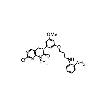 COc1cc(OCCCNc2ccccc2N)cc(N2Cc3cnc(Cl)nc3N(C)C2=O)c1